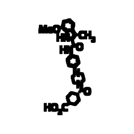 COc1cccc2c(C)c(C(=O)Nc3ccc(N4CCN(C(=O)[C@H]5CC[C@H](C(=O)O)CC5)CC4)cc3)[nH]c12